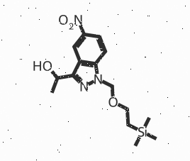 CC(O)c1nn(COCC[Si](C)(C)C)c2ccc([N+](=O)[O-])cc12